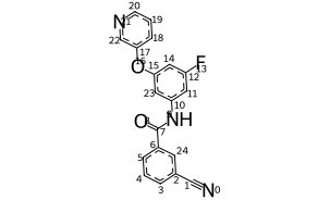 N#Cc1cccc(C(=O)Nc2cc(F)cc(Oc3cccnc3)c2)c1